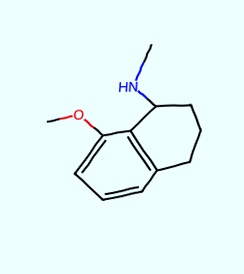 CNC1CCCc2cccc(OC)c21